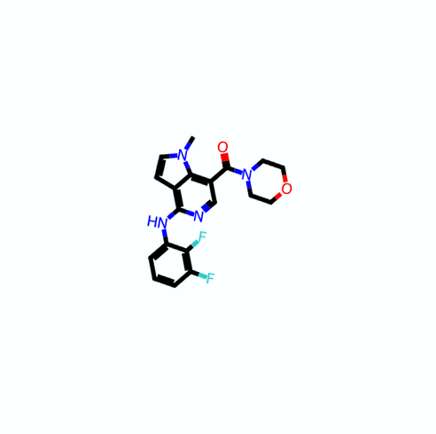 Cn1ccc2c(Nc3cccc(F)c3F)ncc(C(=O)N3CCOCC3)c21